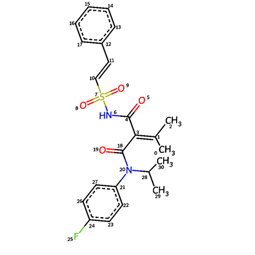 CC(C)=C(C(=O)NS(=O)(=O)C=Cc1ccccc1)C(=O)N(c1ccc(F)cc1)C(C)C